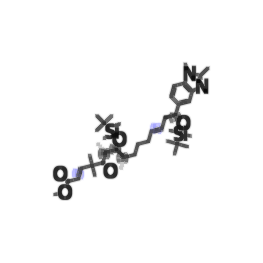 COC(=O)/C=C/C(C)(C)C(=O)[C@H](C)[C@@H](O[Si](C)(C)C(C)(C)C)[C@@H](C)CCC/C=C/C[C@H](O[Si](C)(C)C(C)(C)C)c1ccc2c(c1)nc(C)n2C